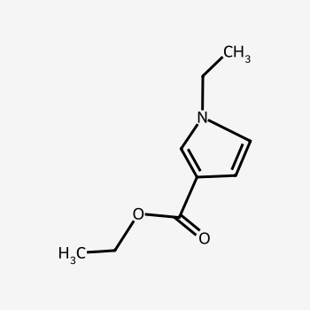 CCOC(=O)c1ccn(CC)c1